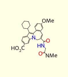 CNC(=O)CNC(=O)C1=Cc2cc(OC)ccc2-c2c(C3CCCCC3)c3ccc(C(=O)O)cc3n2C1